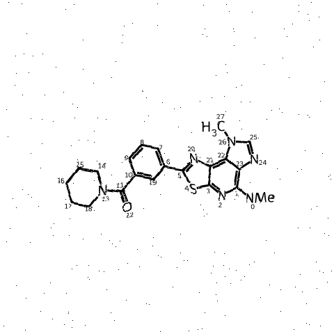 CNc1nc2sc(-c3cccc(C(=O)N4CCCCC4)c3)nc2c2c1ncn2C